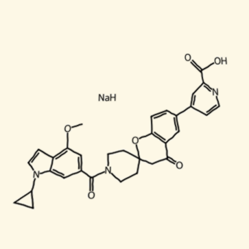 COc1cc(C(=O)N2CCC3(CC2)CC(=O)c2cc(-c4ccnc(C(=O)O)c4)ccc2O3)cc2c1ccn2C1CC1.[NaH]